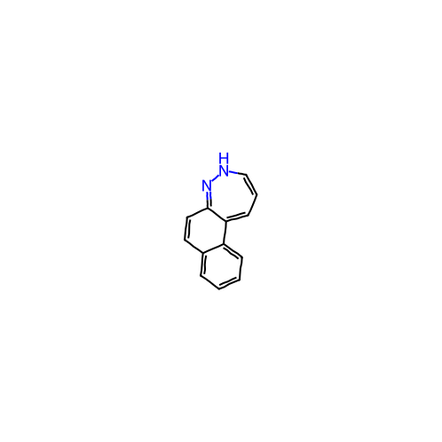 C1=CNN=c2ccc3ccccc3c2=C1